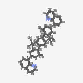 Cc1cc(-c2cccc3cccnc23)cc2c1-c1cc3c(cc1C2(C)C)-c1c(C)cc(-c2cccc4cccnc24)cc1C3(C)C